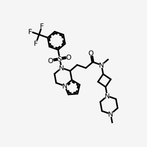 CN1CCN(C2CC(N(C)C(=O)CCC3c4cccn4CCN3S(=O)(=O)c3cccc(C(F)(F)F)c3)C2)CC1